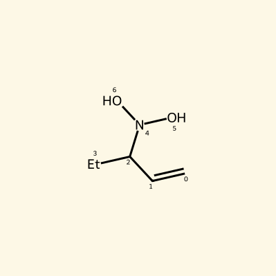 C=CC(CC)N(O)O